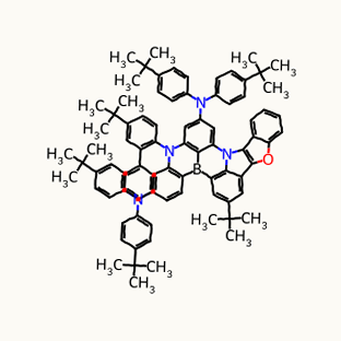 CC(C)(C)c1ccc(N(c2ccc(C(C)(C)C)cc2)c2ccc3c(c2)N(c2ccc(C(C)(C)C)cc2-c2ccccc2)c2cc(N(c4ccc(C(C)(C)C)cc4)c4ccc(C(C)(C)C)cc4)cc4c2B3c2cc(C(C)(C)C)cc3c5oc6ccccc6c5n-4c23)cc1